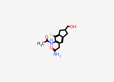 CC(=O)Nc1c(CC(N)=O)cc2c(c1F)CC(CO)C2